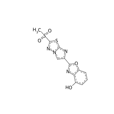 CS(=O)(=O)c1nn2cc(-c3nc4c(O)cccc4o3)nc2s1